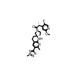 COc1cc([C@@H](C)C(=O)N2CC[C@]3(CCc4cc(-c5nnn(C)n5)c(C)nc4N3)C2)c(F)cn1